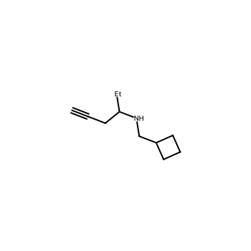 C#CCC(CC)NCC1CCC1